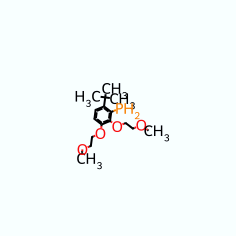 COCCOc1ccc(C(C)(C)C)c(P)c1OCCOC